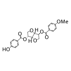 COc1ccc(C(=O)O[C@H]2CO[C@H]3[C@@H]2OC[C@H]3OC(=O)c2ccc(O)cc2)cc1